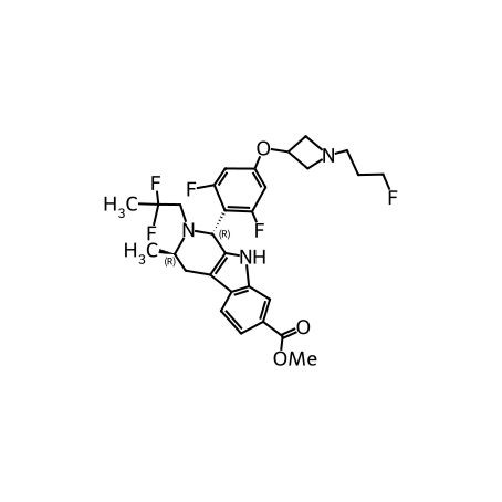 COC(=O)c1ccc2c3c([nH]c2c1)[C@@H](c1c(F)cc(OC2CN(CCCF)C2)cc1F)N(CC(C)(F)F)[C@H](C)C3